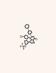 O=c1nc(-c2ccc(-c3ccccc3)cc2)n(-c2ccc(Cl)cc2)c2c1ncn2-c1cccc(OC(F)(F)F)c1